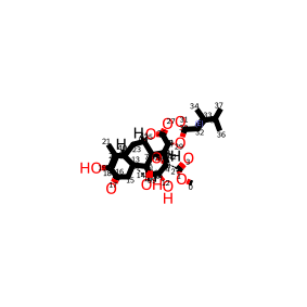 COC(=O)[C@@]12OC[C@]34[C@H]([C@@H](O)[C@@H]1O)[C@@]1(C)CC(=O)C(O)=C(C)[C@@H]1C[C@H]3OC(=O)[C@H](OC(=O)/C=C(\C)C(C)C)[C@@H]24